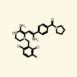 NC1=C(/C=C(\N)c2ccc(C(=O)N3CCCC3)cc2)N(Cc2c(Cl)ccc(F)c2Cl)CCN1